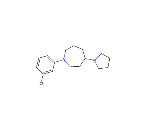 Clc1cccc(N2CCCC(N3CCCC3)CC2)c1